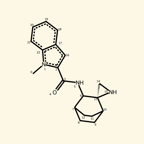 Cn1c(C(=O)NC2C3CCC(CC3)[C@@]23CN3)cc2ccccc21